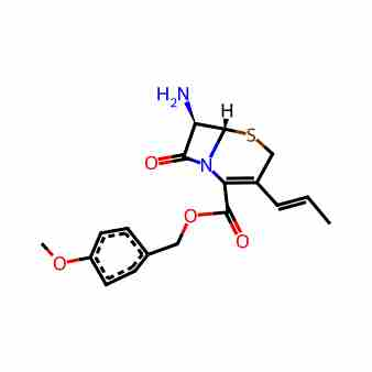 C/C=C/C1=C(C(=O)OCc2ccc(OC)cc2)N2C(=O)[C@@H](N)[C@@H]2SC1